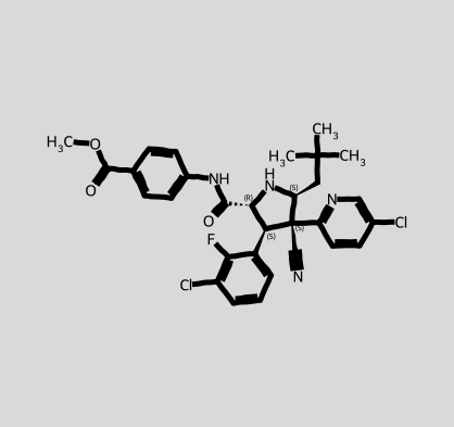 COC(=O)c1ccc(NC(=O)[C@@H]2N[C@@H](CC(C)(C)C)[C@](C#N)(c3ccc(Cl)cn3)[C@H]2c2cccc(Cl)c2F)cc1